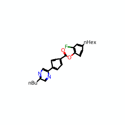 CCCCCCc1ccc(OC(=O)c2ccc(-c3cnc(CCCC)cn3)cc2)c(F)c1